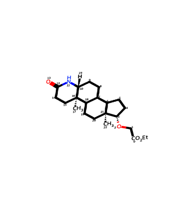 CCOC(=O)CO[C@H]1CCC2C3CC[C@H]4NC(=O)CC[C@]4(C)C3CC[C@@]21C